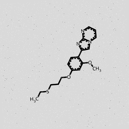 CCSCCCOc1ccc(-c2cn3cccnc3n2)c(OC)c1